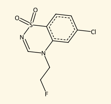 O=S1(=O)N=CN(CCF)c2cc(Cl)ccc21